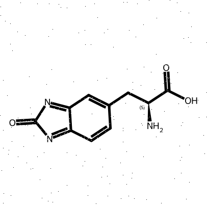 N[C@@H](Cc1ccc2c(c1)=NC(=O)N=2)C(=O)O